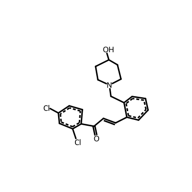 O=C(/C=C/c1ccccc1CN1CCC(O)CC1)c1ccc(Cl)cc1Cl